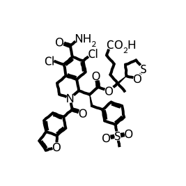 CC(CCCC(=O)O)(OC(=O)[C@@H](Cc1cccc(S(C)(=O)=O)c1)C1c2cc(Cl)c(C(N)=O)c(Cl)c2CCN1C(=O)c1ccc2ccoc2c1)[C@H]1CCSO1